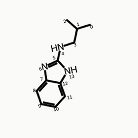 CC(C)CNc1nc2ccccc2[nH]1